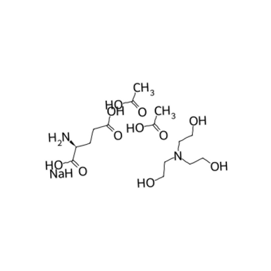 CC(=O)O.CC(=O)O.N[C@@H](CCC(=O)O)C(=O)O.OCCN(CCO)CCO.[NaH]